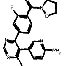 Cc1ncnc(-c2ccc(C(=O)N3CCCO3)c(F)c2)c1-c1ccc(N)nc1